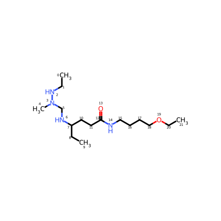 CCNN(C)CNC(CC)CCC(=O)NCCCCOCC